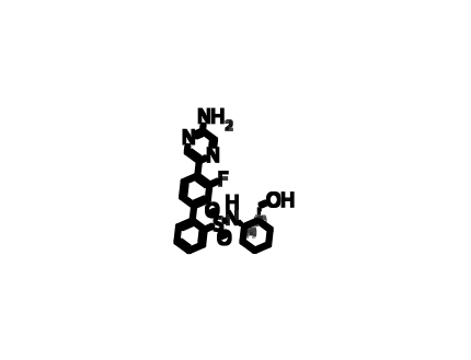 Nc1cnc(-c2ccc(-c3ccccc3S(=O)(=O)N[C@@H]3CCCC[C@H]3CO)cc2F)cn1